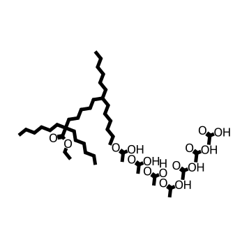 CC(=O)O.CC(=O)O.CC(=O)O.CC(=O)O.CC(=O)O.CC(=O)O.CC(=O)O.CCCCCCC(CCCCCC)CCCCCC(CCCCCC)(CCCCCC)C(=O)OCC